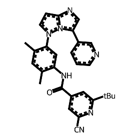 Cc1cc(C)c(-n2ccc3ncc(-c4cccnc4)n32)cc1NC(=O)c1cc(C#N)nc(C(C)(C)C)c1